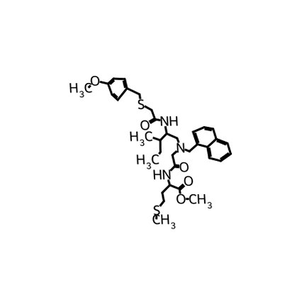 CCC(C)C(CN(CC(=O)NC(CCSC)C(=O)OC)Cc1cccc2ccccc12)NC(=O)CSCc1ccc(OC)cc1